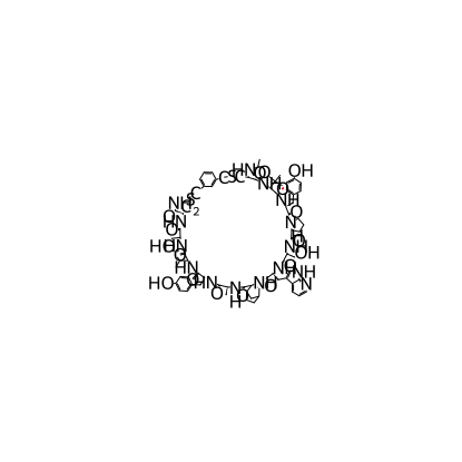 CC(=O)N[C@H]1CSCc2cccc(c2)CSC[C@H](C(N)=O)NC(=O)[C@H]([C@@H](C)O)NC(=O)[C@](C)(C(C)C)NC(=O)[C@H](Cc2ccc(O)cc2)NC(=O)[C@H](C)NC(=O)[C@@]2(CC3CCC2C3)NC(=O)[C@H](Cc2c[nH]c3ncccc23)NC(=O)[C@H]([C@@H](C)O)NC(=O)[C@@H]2CCCN2C(=O)[C@H](Cc2ccc(O)cc2)NC(=O)[C@H](C(C)(C)C)NC1=O